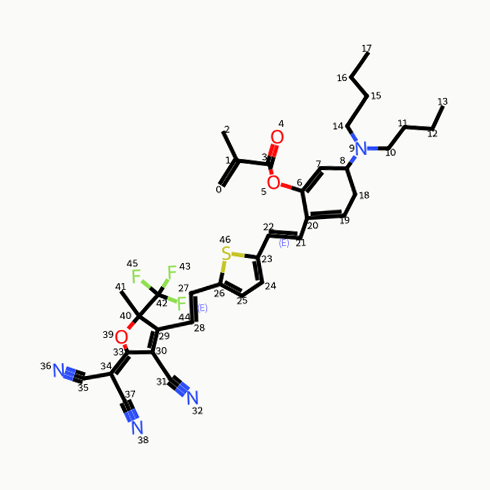 C=C(C)C(=O)OC1=CC(N(CCCC)CCCC)CC=C1/C=C/c1ccc(/C=C/C2=C(C#N)C(=C(C#N)C#N)OC2(C)C(F)(F)F)s1